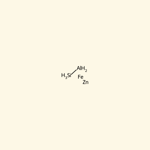 [AlH2][SiH3].[Fe].[Zn]